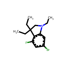 CCN1CC(CC)(CC)c2c(F)cc(Br)cc21